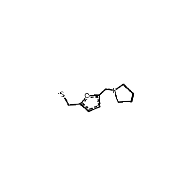 [S]Cc1ccc(CN2CCCC2)o1